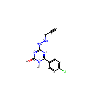 C#CCNNc1nc(-c2ccc(Cl)cc2)n(C)c(=O)n1